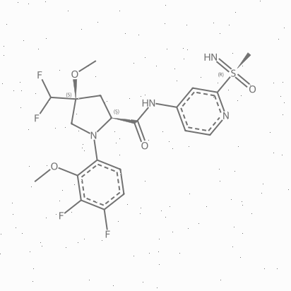 COc1c(N2C[C@](OC)(C(F)F)C[C@H]2C(=O)Nc2ccnc([S@](C)(=N)=O)c2)ccc(F)c1F